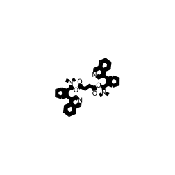 CN(C)C(OC(=O)CCC(=O)OC(C1=C(c2cncc3ccccc23)C2CCC1C2)N(C)C)C1=C(c2cncc3ccccc23)C2CCC1C2